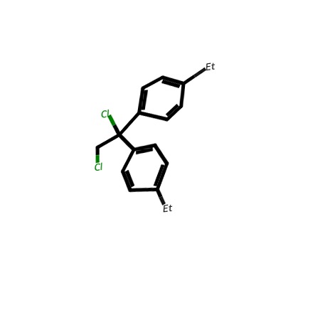 CCc1ccc(C(Cl)(CCl)c2ccc(CC)cc2)cc1